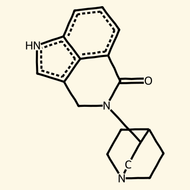 O=C1c2cccc3[nH]cc(c23)CN1C1CN2CCC1CC2